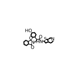 O=C(Nc1cc2ccncc2s1)C(CN1C(=O)c2ccccc2C1=O)c1ccc(O)cc1